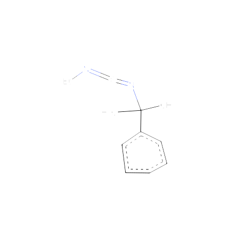 CCN=C=NC(C)(C)c1ccccc1